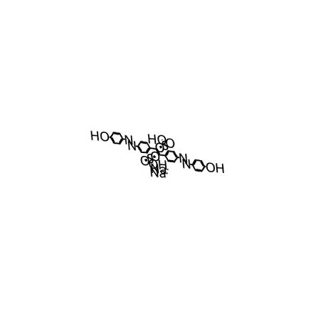 O=S(=O)(O)c1cc(N=Nc2ccc(O)cc2)ccc1C=Cc1ccc(N=Nc2ccc(O)cc2)cc1S(=O)(=O)O.[Na].[Na]